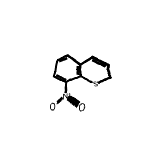 O=[N+]([O-])c1cccc2c1SCC=C2